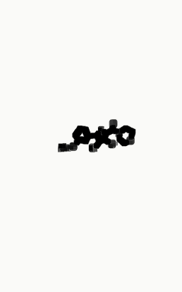 COc1cccc(-c2sc(C(=O)N3CCOCC3)c([O])c2Cl)c1